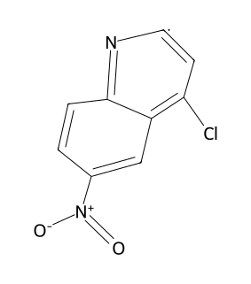 O=[N+]([O-])c1ccc2n[c]cc(Cl)c2c1